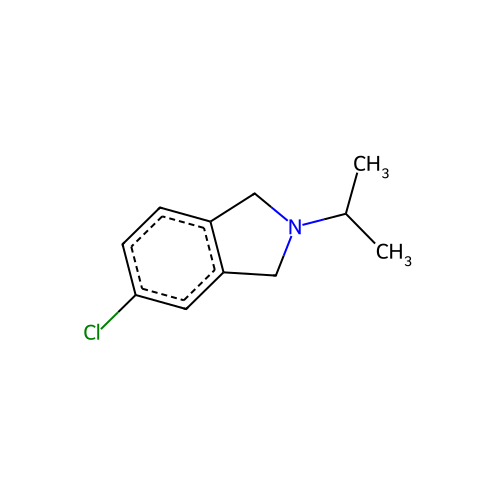 CC(C)N1Cc2ccc(Cl)cc2C1